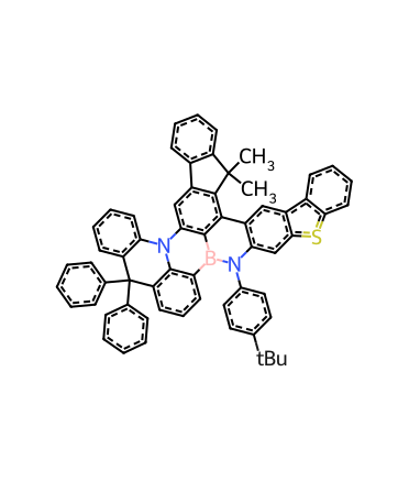 CC(C)(C)c1ccc(N2B3c4cccc5c4N(c4ccccc4C5(c4ccccc4)c4ccccc4)c4cc5c(c(c43)-c3cc4c(cc32)sc2ccccc24)C(C)(C)c2ccccc2-5)cc1